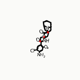 CCOC(=O)CN1C2CCCC1CC(CCNC(=O)c1cc(Cl)c(N)cc1OC)C2